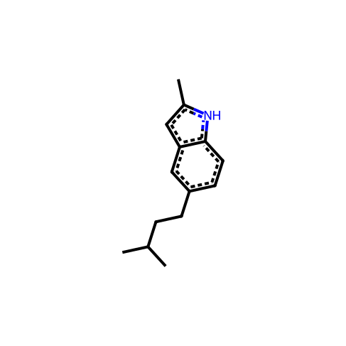 Cc1cc2cc(CCC(C)C)ccc2[nH]1